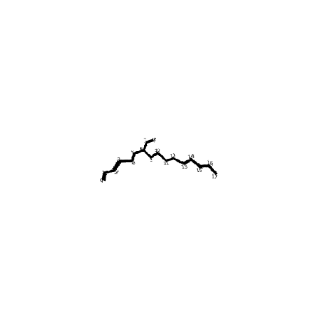 C=CC=CCCC(CC)CCCCCCCCC